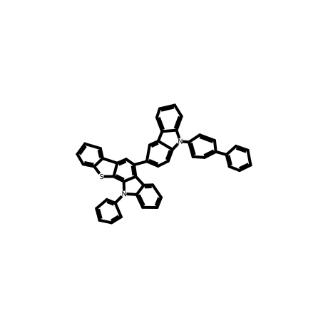 c1ccc(-c2ccc(-n3c4ccccc4c4cc(-c5cc6c7ccccc7sc6c6c5c5ccccc5n6-c5ccccc5)ccc43)cc2)cc1